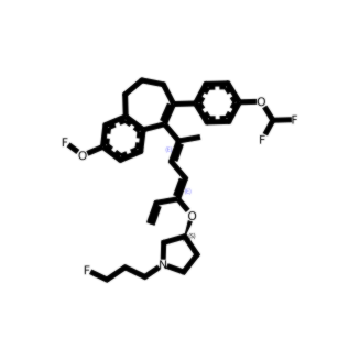 C=C/C(=C\C=C(/C)C1=C(c2ccc(OC(F)F)cc2)CCCc2cc(OF)ccc21)O[C@H]1CCN(CCCF)C1